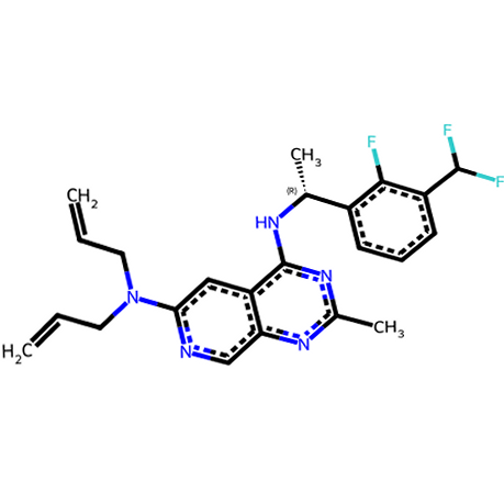 C=CCN(CC=C)c1cc2c(N[C@H](C)c3cccc(C(F)F)c3F)nc(C)nc2cn1